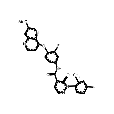 COc1cnc2c(Oc3ccc(NC(=O)c4ccnn(-c5ccc(F)cc5C)c4=O)cc3F)ccnc2c1